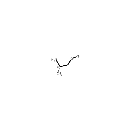 C[C@H](N)CO[N]